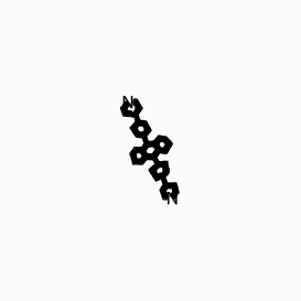 c1ccc2c(-c3ccc(-c4ccncc4)cc3)c3ccccc3c(-c3ccc(-c4ccncc4)cc3)c2c1